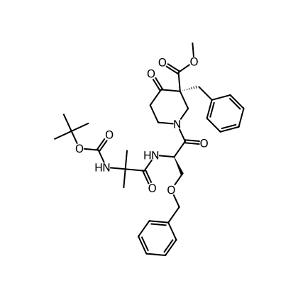 COC(=O)[C@@]1(Cc2ccccc2)CN(C(=O)[C@@H](COCc2ccccc2)NC(=O)C(C)(C)NC(=O)OC(C)(C)C)CCC1=O